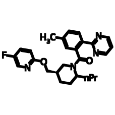 CCCC1CC[C@@H](COc2ccc(F)cn2)CN1C(=O)c1cc(C)ccc1-c1ncccn1